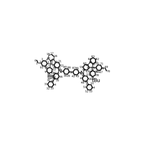 C=Cc1ccc(C2(c3ccc(C(C)(C)C)cc3)C3=C(C=CCC3)c3ccc(N(c4ccc(-c5ccccc5)cc4)c4ccc(-c5ccc(N(c6ccc(-c7ccccc7)cc6)c6ccc7c(c6)C(c6ccc(C=C)cc6)(c6ccc(C(C)(C)C)cc6)c6ccccc6-7)cc5)cc4)cc32)cc1